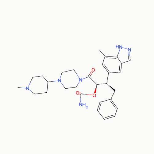 Cc1cc([C@@H](Cc2ccccc2)[C@@H](OC(N)=O)C(=O)N2CCN(C3CCN(C)CC3)CC2)cc2cn[nH]c12